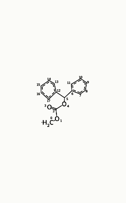 [CH2]OC(=O)OC(c1ccccc1)c1ccccc1